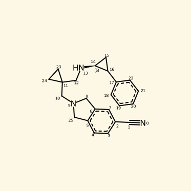 N#Cc1ccc2c(c1)CN(CC1(CN[C@H]3CC3c3ccccc3)CC1)C2